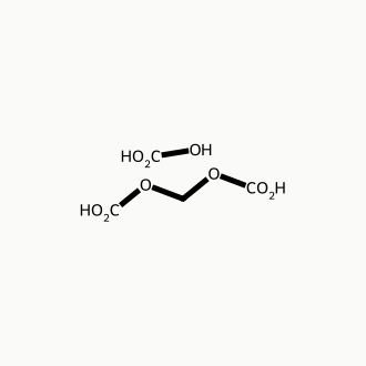 O=C(O)O.O=C(O)OCOC(=O)O